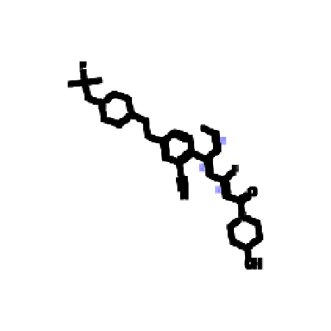 C\C=C/C(=C\C(F)=C\C(=O)N1CCC(O)CC1)c1ccc(CCC2CCN(CC(C)(C)F)CC2)cc1C#N